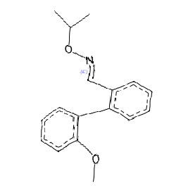 COc1ccccc1-c1ccccc1/C=N/OC(C)C